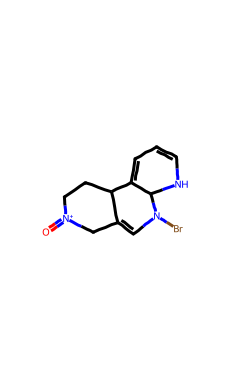 O=[N+]1CCC2C(=CN(Br)C3NC=CC=C23)C1